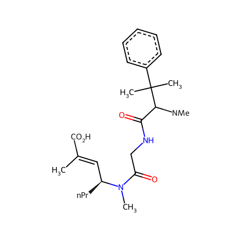 CCC[C@@H](/C=C(\C)C(=O)O)N(C)C(=O)CNC(=O)C(NC)C(C)(C)c1ccccc1